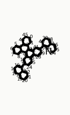 C1=Cc2c(c3ccccc3c3c4cc(-c5cccc6ccccc56)ccc4c4ccc(C5=c6ncccc6=CCC5)cc4c23)CC1